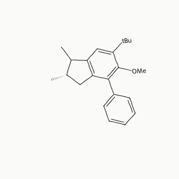 COc1c(C(C)(C)C)cc2c(c1-c1ccccc1)C[C@H](C)C2C